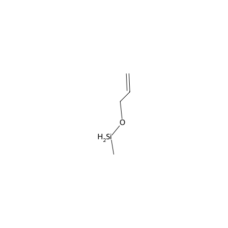 C=CCO[SiH2]C